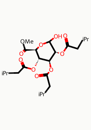 COC(=O)[C@H]1OC(O)[C@H](OC(=O)CC(C)C)[C@@H](OC(=O)CC(C)C)[C@@H]1OC(=O)CC(C)C